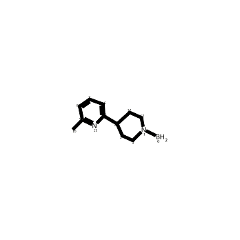 BN1CCC(c2cccc(C)n2)CC1